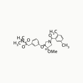 CO[C@@H]1CN(C(=O)c2cc(C)ccc2C)C[C@H]1Oc1cccc(CS(=O)(=O)N(C)C)c1